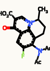 CC(=O)N(C(C)=O)c1c(F)cc2c(=O)c(C(=O)O)cn3c2c1CCC3C